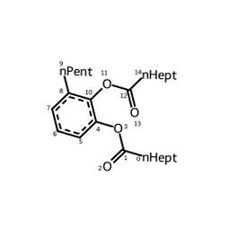 CCCCCCCC(=O)Oc1cccc(CCCCC)c1OC(=O)CCCCCCC